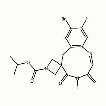 C=C1/C=N\c2cc(F)c(Br)cc2CC2(CN(C(=O)OC(C)C)C2)C(=O)N1C